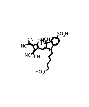 CC1(C)C(=CC2=C(O)C(=C(C#N)C#N)C2=C(C#N)C#N)N(CCCCCC(=O)O)c2ccc(S(=O)(=O)O)cc21